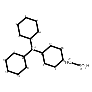 C1CCC(P(C2CCCCC2)C2CCCCC2)CC1.O=S(=O)(O)O